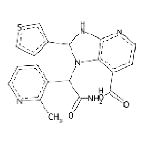 Cc1ncccc1C(C(N)=O)N1c2c(C(=O)O)ccnc2NC1c1ccsc1